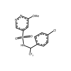 COc1cc(S(=O)(=O)NC(c2ccc(Cl)cc2)C(F)(F)F)cnn1